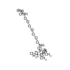 Cc1sc2c(c1C)C(c1ccc(Cl)cc1)=N[C@@H](CC(=O)NCCOCCOCCOCCOCCOCCOCCOCCNC(=O)OC(C)(C)C)c1nnc(C)n1-2